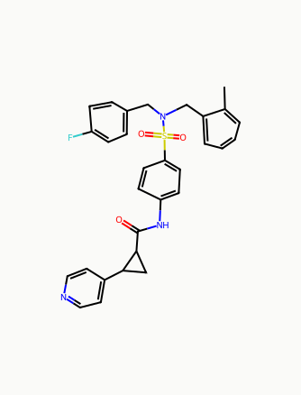 Cc1ccccc1CN(Cc1ccc(F)cc1)S(=O)(=O)c1ccc(NC(=O)C2CC2c2ccncc2)cc1